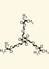 C=C(C)C(=O)OCCOCCn1c(=O)n(CCOCCOC(=O)C(=C)C)c(=O)n(CCOCCOC(=O)C(=C)C)c1=O